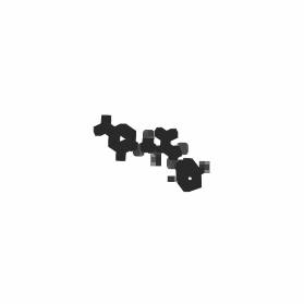 Cc1cc(C(C)C)ccc1OC(=O)N[C@H](C(=O)O[C@@H]1C[C@@H]2CC[C@]1(C)C2(C)C)C(C)C